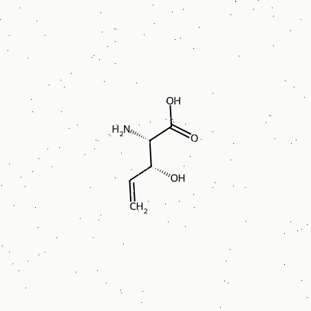 C=C[C@@H](O)[C@H](N)C(=O)O